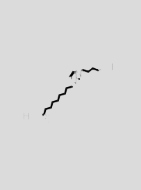 CCCCCn1cc[n+](CCCCCCCCC(C)C)c1